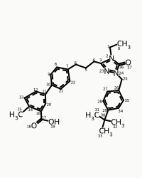 CCn1c(CCCc2ccc(-c3ccc(C)c(C(=O)O)c3)cc2)nn(Cc2ccc(C(C)(C)C)cc2)c1=O